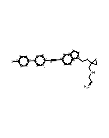 C=CCNCC1(CCn2ccc3cc(C#Cc4ccc(-c5ccc(Cl)cc5)cn4)ccc32)CC1